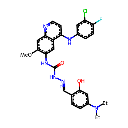 CCN(CC)c1ccc(/C=N/NC(=O)Nc2cc3c(Nc4ccc(F)c(Cl)c4)ccnc3cc2OC)c(O)c1